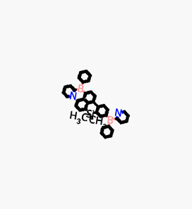 C[Si]1(C)c2cc(B(c3ccccc3)c3ccccn3)ccc2-c2ccc(B(c3ccccc3)c3ccccn3)c3cccc1c23